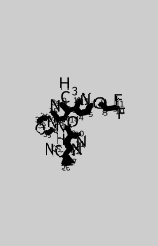 CC1=C(c2ccc(OCC(F)F)nc2)CC(NC(=O)c2cnnc(C3(C#N)CC3)c2)(N2CCOCC2)C=N1